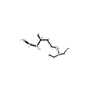 CCN(CC)OCCC(C)N=[N+]=[N-]